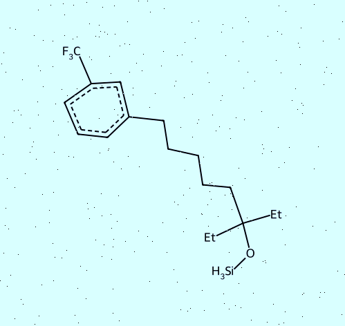 CCC(CC)(CCCCCc1cccc(C(F)(F)F)c1)O[SiH3]